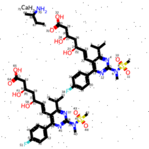 CC(C)c1nc(N(C)S(C)(=O)=O)nc(-c2ccc(F)cc2)c1C=C[C@@H](O)C[C@@H](O)CC(=O)O.CC(C)c1nc(N(C)S(C)(=O)=O)nc(-c2ccc(F)cc2)c1C=C[C@@H](O)C[C@@H](O)CC(=O)O.CCC(C)N.[CaH2]